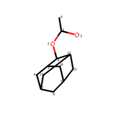 CC([O])OC1C2CC3CC(C2)CC1C3